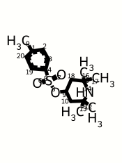 Cc1ccc(S(=O)(=O)OC2CC(C)(C)NC(C)(C)C2)cc1